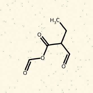 CCC(C=O)C(=O)OC=O